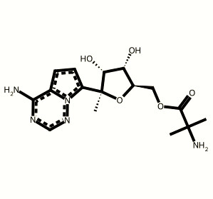 CC(C)(N)C(=O)OC[C@H]1O[C@@](C)(c2ccc3c(N)ncnn23)[C@H](O)[C@@H]1O